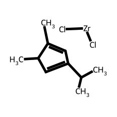 C[C]1C=C(C(C)C)C=C1C.[Cl][Zr][Cl]